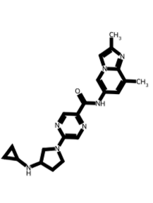 Cc1cn2cc(NC(=O)c3cnc(N4CCC(NC5CC5)C4)cn3)cc(C)c2n1